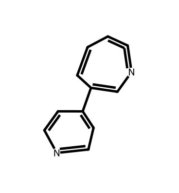 C1=CC=CC(c2ccncc2)=CN=1